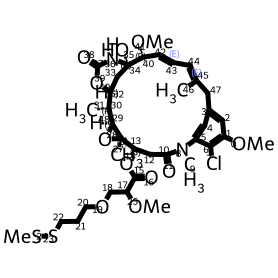 COc1cc2cc(c1Cl)N(C)C(=O)C[C@H](OC(=O)C(COCCCSSC)OC)[C@]1(C)O[C@H]1[C@H](C)[C@@H]1C[C@@](O)(NC(=O)O1)[C@H](OC)/C=C/C=C(\C)C2